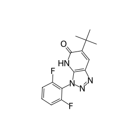 CC(C)(C)c1cc2nnn(-c3c(F)cccc3F)c2[nH]c1=O